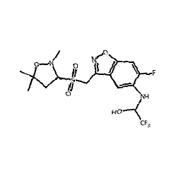 CN1OC(C)(C)CC1S(=O)(=O)Cc1noc2cc(F)c(NC(O)C(F)(F)F)cc12